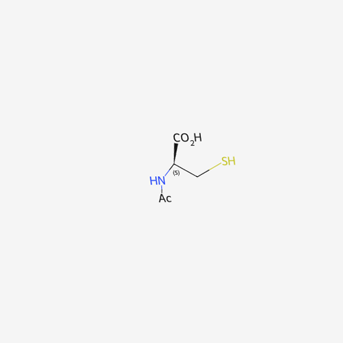 CC(=O)N[C@H](CS)C(=O)O